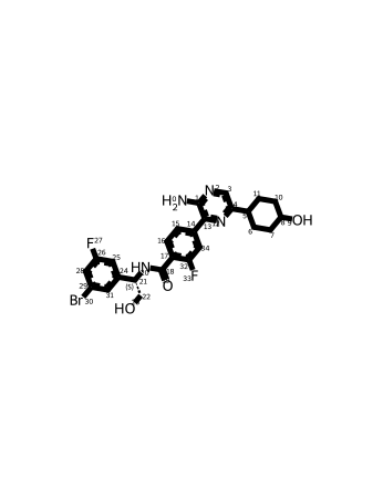 Nc1ncc(C2CCC(O)CC2)nc1-c1ccc(C(=O)N[C@H](CO)c2cc(F)cc(Br)c2)c(F)c1